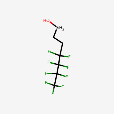 O[SiH2]CCC(F)(F)C(F)(F)C(F)(F)C(F)(F)F